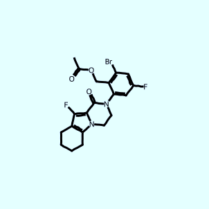 CC(=O)OCc1c(Br)cc(F)cc1N1CCn2c3c(c(F)c2C1=O)CCCC3